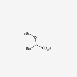 CCCCOC(C(=O)O)C(C)CC